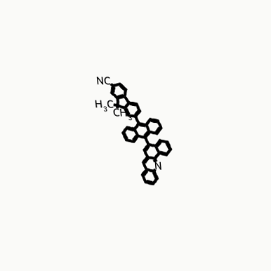 CC1(C)c2cc(C#N)ccc2-c2ccc(-c3c4ccccc4c(-c4cc5cc6ccccc6nc5c5ccccc45)c4ccccc34)cc21